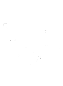 Fc1ccc(-c2ccc3ncnc(Cc4ccccc4F)c3n2)cc1